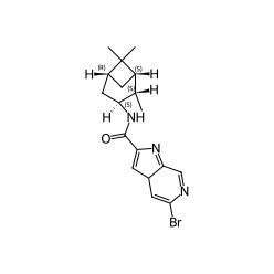 C[C@@H]1[C@@H](NC(=O)C2=CC3C=C(Br)N=CC3=N2)C[C@H]2C[C@@H]1C2(C)C